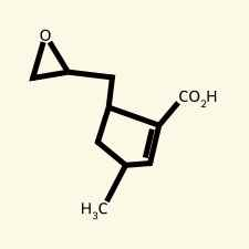 CC1C=C(C(=O)O)C(CC2CO2)C1